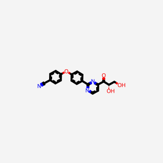 N#Cc1ccc(Oc2ccc(-c3nccc(C(=O)[C@@H](O)CO)n3)cc2)cc1